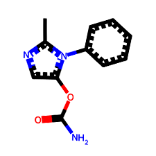 Cc1ncc(OC(N)=O)n1-c1ccccc1